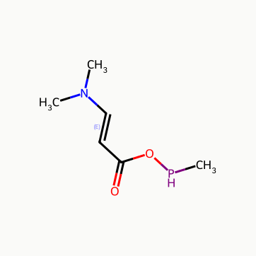 CPOC(=O)/C=C/N(C)C